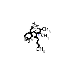 C=C(C)/C(C)=C(\CC1(CC)CCSCC1)C(=C)CCCC